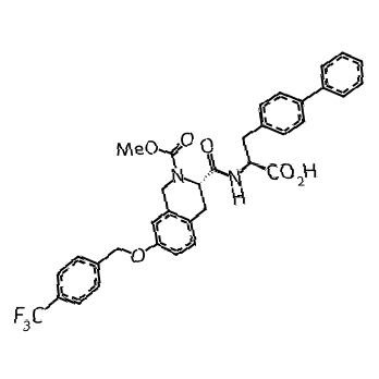 COC(=O)N1Cc2cc(OCc3ccc(C(F)(F)F)cc3)ccc2C[C@H]1C(=O)N[C@@H](Cc1ccc(-c2ccccc2)cc1)C(=O)O